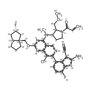 C=CC(=O)N1CCC(N(C)c2nc(OC[C@@]34CCCN3C[C@H](F)C4)nc3c(Cl)c(-c4ccc(F)c5sc(N)c(C#N)c45)ncc23)C1COC